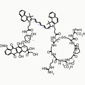 CCCCC[C@H](NC(=O)[C@@H]1CSSC[C@@H](NC(=O)CCN2/C(=C/C=C/C=C/C=C/C3=[N+](CCC(=O)N[C@H]4C[C@H](O[C@H]5C[C@](O)(C(=O)CO)Cc6c(O)c7c(c(O)c65)C(=O)c5c(OC)cccc5C7=O)O[C@@H](C)[C@H]4O)c4ccc5ccccc5c4C3(C)C)C(C)(C)c3c2ccc2ccccc32)C(=O)NCC(=O)N[C@@H](CCCNC(=N)N)C(=O)N[C@@H](CC(=O)O)C(=O)N[C@@H](CO)C(=O)N2CCC[C@H]2C(=O)N1)C(=O)O